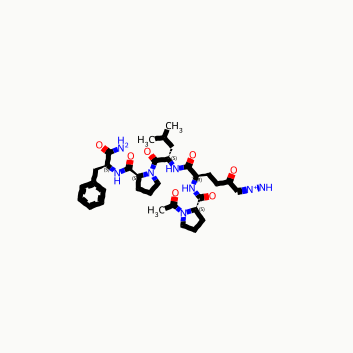 CC(=O)N1CCC[C@H]1C(=O)N[C@H](CCC(=O)C=[N+]=N)C(=O)N[C@@H](CC(C)C)C(=O)N1CCC[C@H]1C(=O)N[C@@H](Cc1ccccc1)C(N)=O